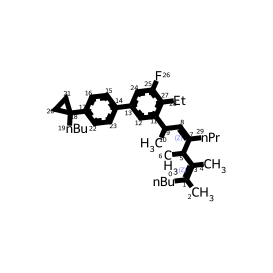 CCCC/C(C)=C(/C)C(C)/C(=C\C(C)c1cc(-c2ccc(C3(CCCC)CC3)cc2)cc(F)c1CC)CCC